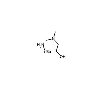 CCCCN.CN(C)CCO